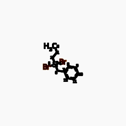 CCC[Si](Br)(Br)Cc1ccccc1